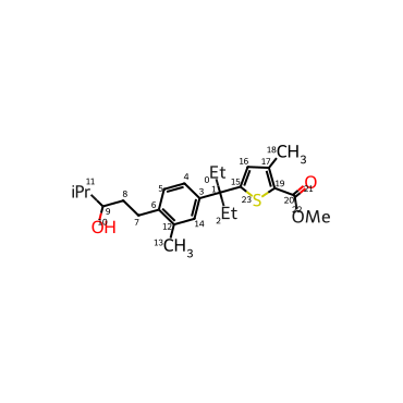 CCC(CC)(c1ccc(CCC(O)C(C)C)c(C)c1)c1cc(C)c(C(=O)OC)s1